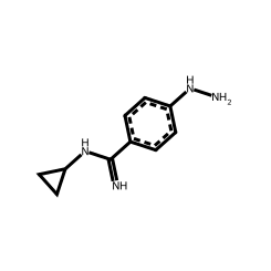 N=C(NC1CC1)c1ccc(NN)cc1